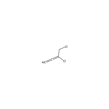 [CH]=C=C(Cl)CCl